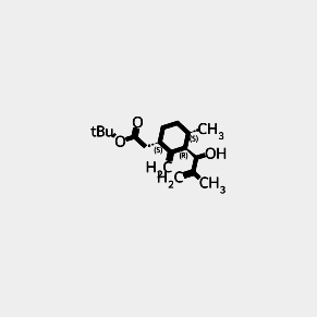 C=C(C)C(O)[C@H]1C(=C)[C@H](CC(=O)OC(C)(C)C)CC[C@@H]1C